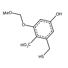 COCOc1cc(O)cc(CS)c1C(=O)O